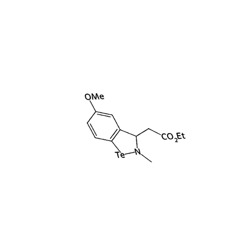 CCOC(=O)CC1c2cc(OC)ccc2[Te]N1C